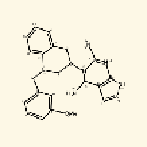 COc1cccc(CN2CC(N3C(N)=Nc4[nH]ncc4C3N)Cc3ccccc32)c1